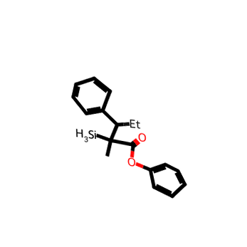 CCC(c1ccccc1)C(C)([SiH3])C(=O)Oc1ccccc1